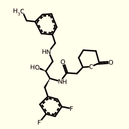 CCc1cccc(CNC[C@H](O)[C@H](Cc2cc(F)cc(F)c2)NC(=O)CC2CCCC(=O)C2)c1